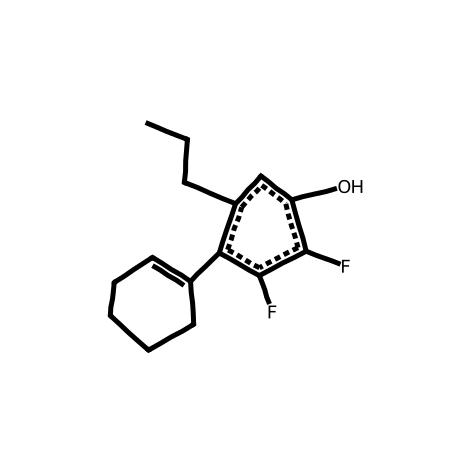 CCCc1cc(O)c(F)c(F)c1C1=CCCCC1